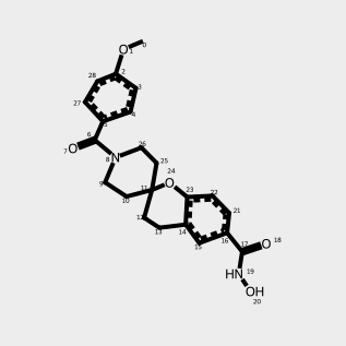 COc1ccc(C(=O)N2CCC3(CCc4cc(C(=O)NO)ccc4O3)CC2)cc1